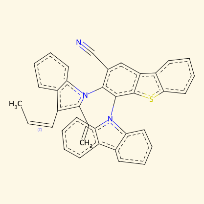 C=Cc1c(/C=C\C)c2ccccc2n1-c1c(C#N)cc2c(sc3ccccc32)c1-n1c2ccccc2c2ccccc21